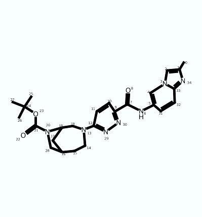 Cc1cn2cc(NC(=O)c3ccc(N4CCC5CC(C4)N(C(=O)OC(C)(C)C)C5)nn3)ccc2n1